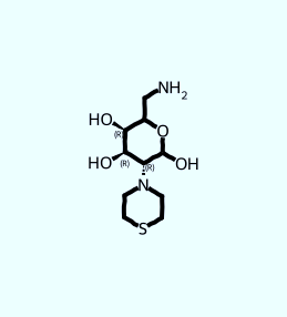 NCC1OC(O)[C@H](N2CCSCC2)[C@@H](O)[C@H]1O